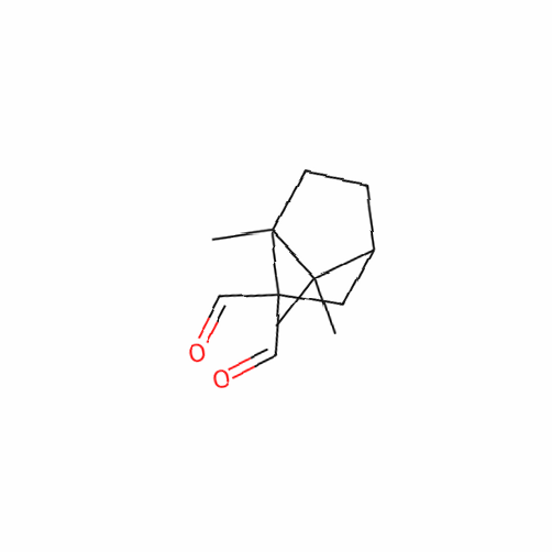 CC1(C)C2CCC1(C)C(C=O)(C=O)C2